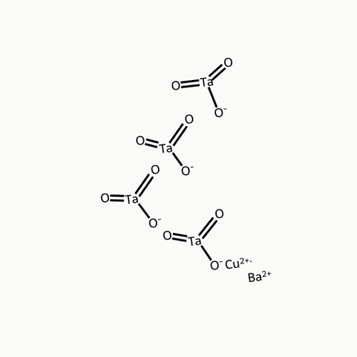 [Ba+2].[Cu+2].[O]=[Ta](=[O])[O-].[O]=[Ta](=[O])[O-].[O]=[Ta](=[O])[O-].[O]=[Ta](=[O])[O-]